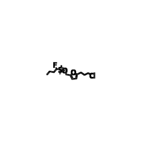 CCCC(F)[Si](C)(C)OCc1ccc(CCCCl)o1